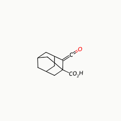 O=C=C1C2CC3CC(C2)CC1(C(=O)O)C3